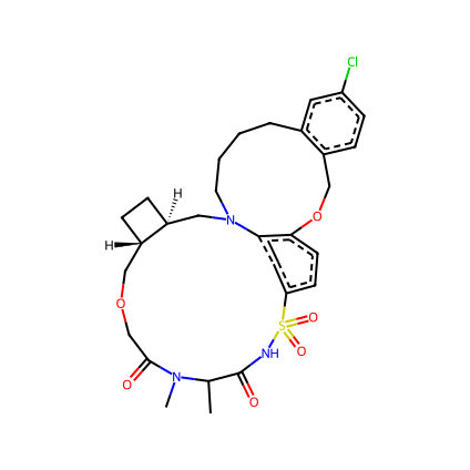 CC1C(=O)NS(=O)(=O)c2ccc3c(c2)N(CCCCc2cc(Cl)ccc2CO3)C[C@@H]2CC[C@H]2COCC(=O)N1C